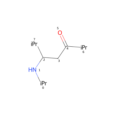 CC(C)NC(CC(=O)C(C)C)C(C)C